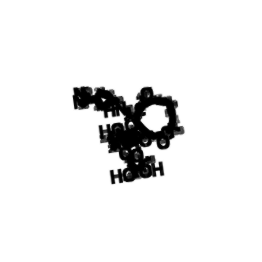 CO[C@@H]1[C@@H](O[C@@H]2O[C@H](C)[C@@H](O[C@H]3C[C@@](C)(O)[C@@H](O)[C@H](C)O3)[C@H](N(C)C)[C@H]2O)[C@@H](CCNCc2ccc(-c3cnns3)cc2)C[C@@H](C)C(=O)/C=C\C=C\C[C@@H](C)OC(=O)C[C@@H]1O